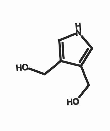 OCc1c[nH]cc1CO